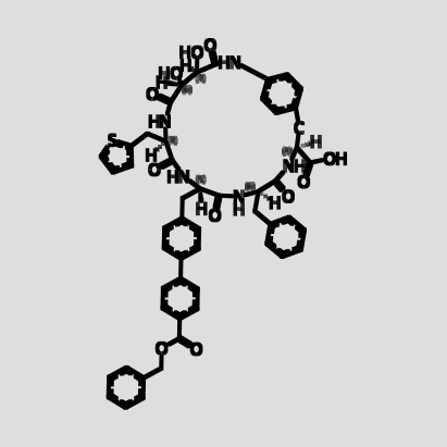 O=C(OCc1ccccc1)c1ccc(-c2ccc(C[C@@H]3NC(=O)[C@@H](Cc4cccs4)NC(=O)[C@H](O)[C@@H](O)C(=O)Nc4ccc(cc4)C[C@@H](C(=O)O)NC(=O)[C@@H](Cc4ccccc4)NC3=O)cc2)cc1